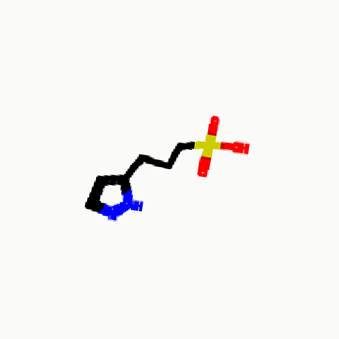 O=S(=O)(O)CCCc1ccn[nH]1